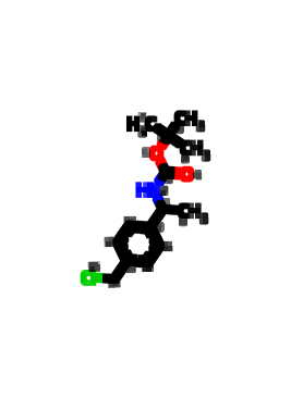 CC(NC(=O)OC(C)(C)C)c1ccc(CCl)cc1